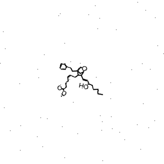 CCCCCC(O)C=CC1C2CC(CCc3ccccc3)(CO2)C1C/C=C\CCCC(=O)OC